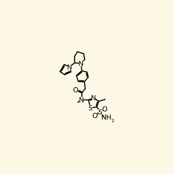 Cc1nc(N(C)C(=O)Cc2ccc(N3CCCCC3n3cccc3)cc2)sc1S(N)(=O)=O